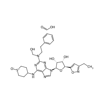 CCc1cc([C@H]2O[C@@H](n3cnc4c(NC5CC[S+]([O-])CC5)nc(N(CO)CCc5ccccc5)nc43)[C@H](O)[C@@H]2O)on1.O=CO